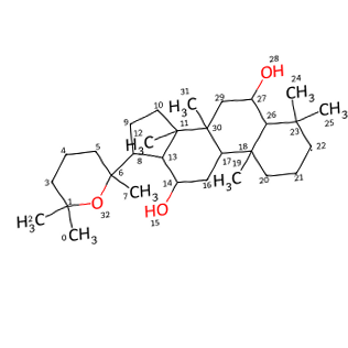 CC1(C)CCCC(C)(C2CCC3(C)C2C(O)CC2C4(C)CC[CH]C(C)(C)C4C(O)CC23C)O1